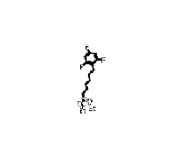 CCO[SiH](CCCCCCc1c(F)cc(F)cc1F)OCC